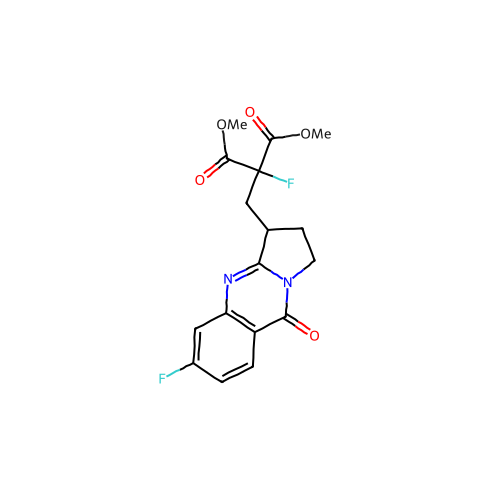 COC(=O)C(F)(CC1CCn2c1nc1cc(F)ccc1c2=O)C(=O)OC